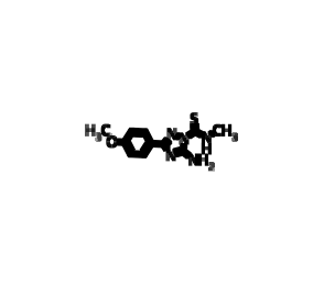 CNC(=S)n1nc(-c2ccc(OC)cc2)nc1N